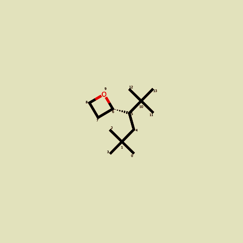 CC(C)(C)CC([C@@H]1CCO1)C(C)(C)C